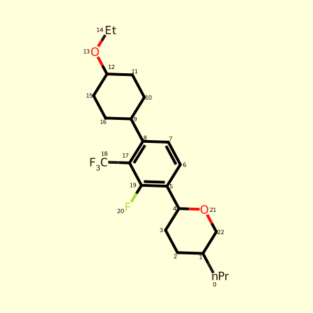 CCCC1CCC(c2ccc(C3CCC(OCC)CC3)c(C(F)(F)F)c2F)OC1